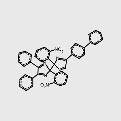 O=[N+]([O-])c1ccccc1C1(C2(c3ccccc3[N+](=O)[O-])N=C(c3ccccc3)C(c3ccccc3)=N2)N=CC(c2ccc(-c3ccccc3)cc2)=N1